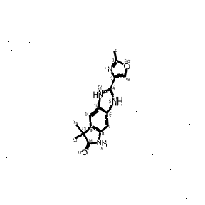 Cc1nc(C2Nc3cc4c(cc3N2)C(C)(C)C(=O)N4)co1